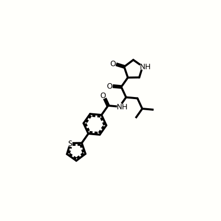 CC(C)CC(NC(=O)c1ccc(-c2cccs2)cc1)C(=O)C1CNCC1=O